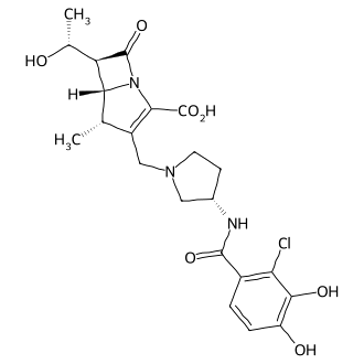 C[C@@H](O)[C@H]1C(=O)N2C(C(=O)O)=C(CN3CC[C@H](NC(=O)c4ccc(O)c(O)c4Cl)C3)[C@H](C)[C@H]12